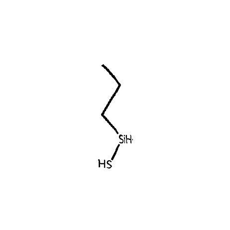 CCC[SiH]S